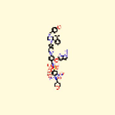 COc1ccc(CN2CCN(C3CC4(CCN(c5ccc(C(=O)NS(=O)(=O)c6cc([N+](=O)[O-])c(NCC7CCOCC7)c7c6OCCO7)c(Oc6cnc7[nH]ccc7c6)c5)CC4)C3)[C@H](c3ccccc3C(C)C)C2)cc1